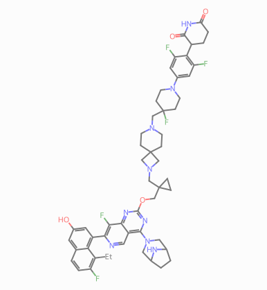 CCc1c(F)ccc2cc(O)cc(-c3ncc4c(N5CC6CCC(C5)N6)nc(OCC5(CN6CC7(CCN(CC8(F)CCN(c9cc(F)c(C%10CCC(=O)NC%10=O)c(F)c9)CC8)CC7)C6)CC5)nc4c3F)c12